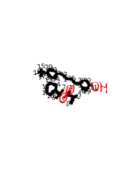 C=C(C)C(=O)OC(C)(C)c1ccccc1.CC(C)(C)c1ccc(C=CC=Cc2ccc(O)cc2)cc1